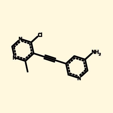 Cc1ncnc(Cl)c1C#Cc1cncc(N)c1